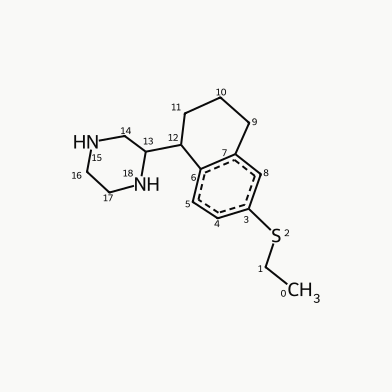 CCSc1ccc2c(c1)CCCC2C1CNCCN1